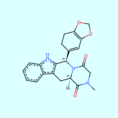 CN1CC(=O)N2[C@H](Cc3c([nH]c4ccccc34)[C@H]2C2=CC3=C(CC2)OCO3)C1=O